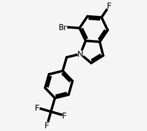 Fc1cc(Br)c2c(ccn2Cc2ccc(C(F)(F)F)cc2)c1